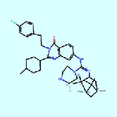 CC1CCC(c2nc3cc(N/C(=N/C4C[C@H]5C[C@@H]([C@@H]4C)C5(C)C)N4CCN[C@@H](C)C4)ccc3c(=O)n2CCc2ccc(F)cc2)CC1